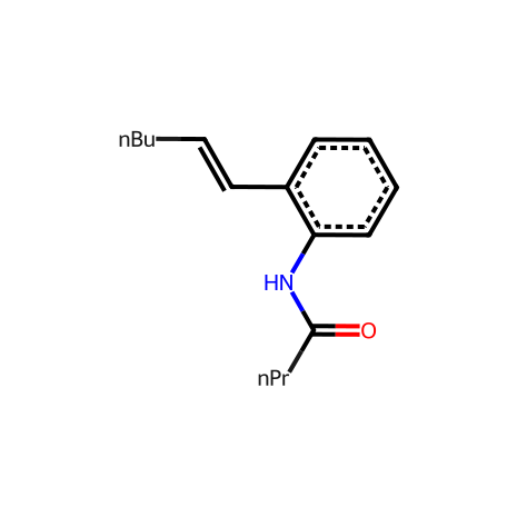 [CH2]CCCC=Cc1ccccc1NC(=O)CCC